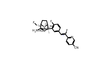 C[C@]1(c2cc(/C=C(\F)c3ccc(C#N)cn3)ccc2F)N=C(N)[C@@]2(CF)CC[C@@H]1S2(O)O